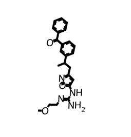 COCCN=C(N)Nc1cc(CC(C)c2cccc(C(=O)c3ccccc3)c2)no1